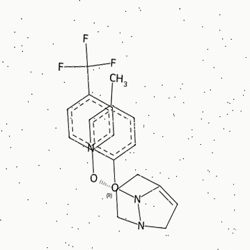 Cc1ccc(ON2C3=CCN2C[C@H](Oc2ccc(C(F)(F)F)cc2)C3)nc1